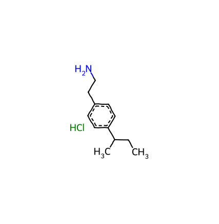 CCC(C)c1ccc(CCN)cc1.Cl